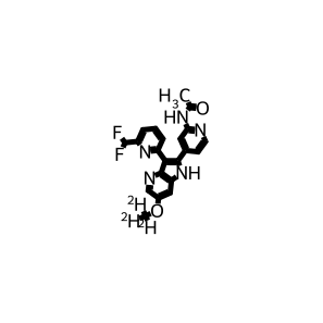 [2H]C([2H])([2H])Oc1cnc2c(-c3cccc(C(F)F)n3)c(-c3ccnc(NC(C)=O)c3)[nH]c2c1